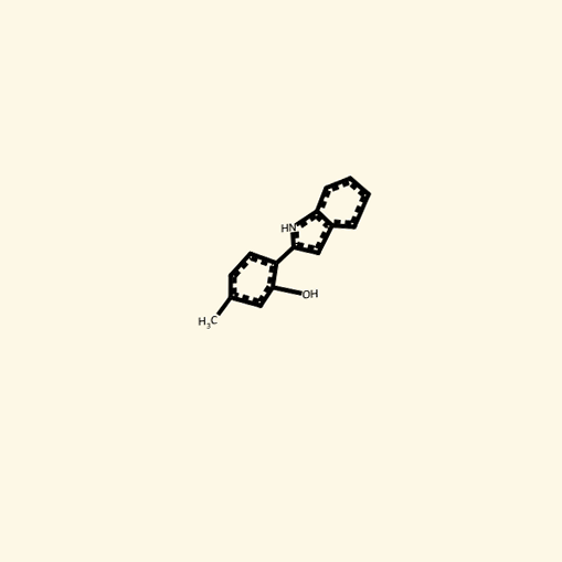 Cc1ccc(-c2cc3ccccc3[nH]2)c(O)c1